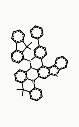 CC1(C)c2ccccc2N2c3cc4sc5ccccc5c4c4c3B(c3cccc1c32)N(c1cccc2c1C(C)(C)c1ccccc1-2)c1cc(-c2ccccc2)ccc1-4